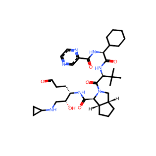 CC(C)(C)[C@H](NC(=O)[C@@H](NC(=O)c1cnccn1)C1CCCCC1)C(=O)N1C[C@@H]2CCC[C@@H]2[C@H]1C(=O)N[C@@H](CCC=O)[C@H](O)CNC1CC1